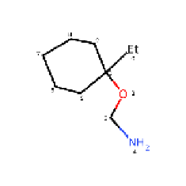 CCC1(OCN)CCCCC1